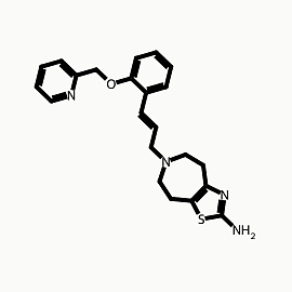 Nc1nc2c(s1)CCN(CC=Cc1ccccc1OCc1ccccn1)CC2